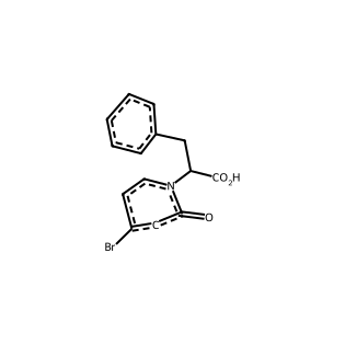 O=C(O)C(Cc1ccccc1)n1ccc(Br)cc1=O